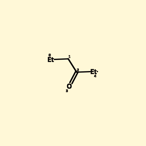 [CH2]CCC(=O)[CH]C